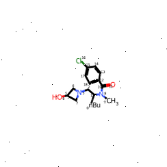 CCCCC(CN1CC(O)C1)N(C)C(=O)c1ccc(Cl)cc1